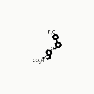 O=C(O)Cn1ccc2cc(OCc3cccc(-c4ccc(C(F)(F)F)cc4)c3)ccc21